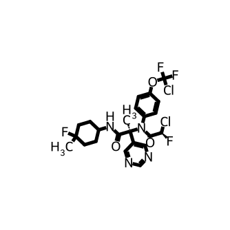 CC1(F)CCC(NC(=O)[C@](C)(c2cncnc2)N(C(=O)[C@H](F)Cl)c2ccc(OC(F)(F)Cl)cc2)CC1